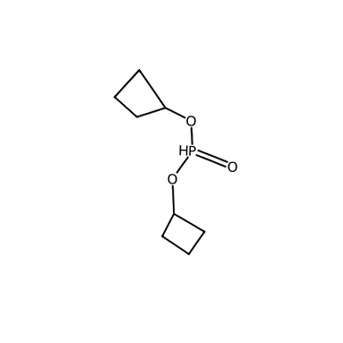 O=[PH](OC1CCC1)OC1CCC1